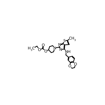 CCOC(=O)OC1CCN(c2nc(NCc3ccc4c(c3)OCCO4)c3cc(C)sc3n2)CC1